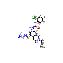 CN(C)/C=N/Sc1cc(NC(=O)Cc2ccccc2Cl)cc2c1CCN(CC1CC1)C2